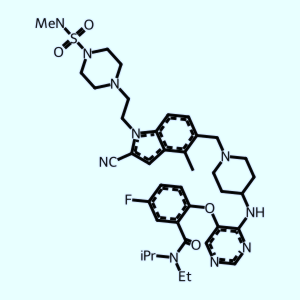 CCN(C(=O)c1cc(F)ccc1Oc1cncnc1NC1CCN(Cc2ccc3c(cc(C#N)n3CCN3CCN(S(=O)(=O)NC)CC3)c2C)CC1)C(C)C